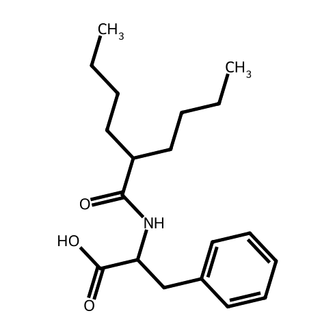 CCCCC(CCCC)C(=O)NC(Cc1ccccc1)C(=O)O